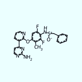 Cc1c(Oc2ncccc2-c2ccnc(N)n2)cc(F)c(N[S+]([O-])Cc2ccccc2)c1F